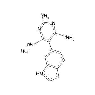 CCCc1nc(N)nc(N)c1-c1ccc2cc[nH]c2c1.Cl